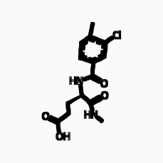 CNC(=O)[C@@H](CCC(=O)O)NC(=O)c1ccc(C)c(Cl)c1